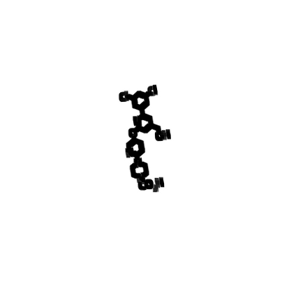 O=C(O)N1CCN(c2ccc(Oc3cc(CO)cc(-c4cc(Cl)cc(Cl)c4)n3)cn2)CC1